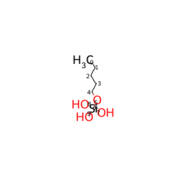 CCCCCO[Si](O)(O)O